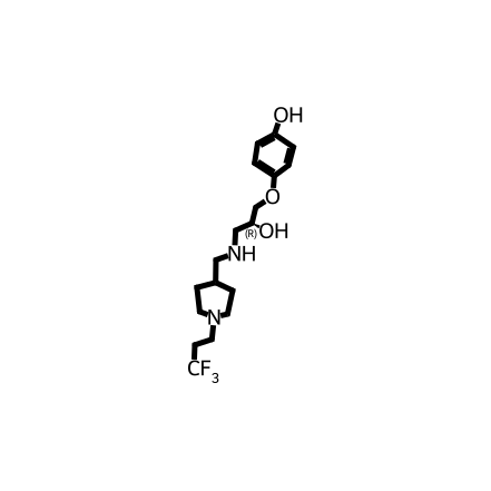 Oc1ccc(OC[C@H](O)CNCC2CCN(CCC(F)(F)F)CC2)cc1